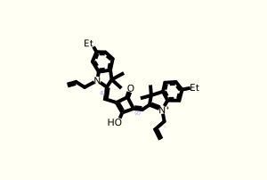 C=CCN1/C(=C/C2=C(O)C(=C/C3=[N+](CC=C)c4cc(CC)ccc4C3(C)C)/C2=O)C(C)(C)c2ccc(CC)cc21